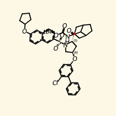 CC(C)(C)OC(=O)NC1CC2CCC(C1)C2C(=O)[C@@H]1C[C@@H](Oc2ccc(Cl)c(-c3ccccc3)c2)CN1S(=O)(=O)c1ccc2cc(OC3CCCC3)ccc2c1